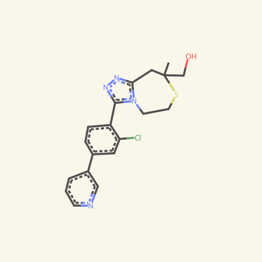 CC1(CO)Cc2nnc(-c3ccc(-c4cccnc4)cc3Cl)n2CCS1